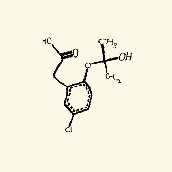 CC(C)(O)Oc1ccc(Cl)cc1CC(=O)O